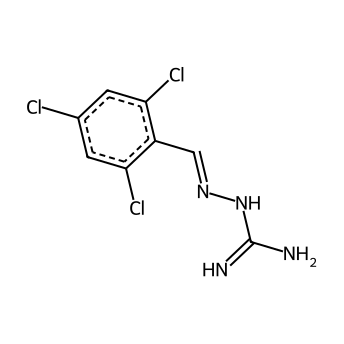 N=C(N)NN=Cc1c(Cl)cc(Cl)cc1Cl